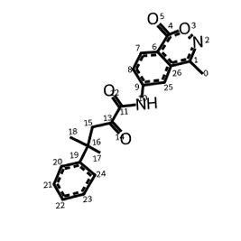 Cc1noc(=O)c2ccc(NC(=O)C(=O)CC(C)(C)c3ccccc3)cc12